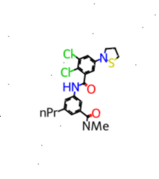 CCCc1cc(NC(=O)c2cc(N3CCCS3)cc(Cl)c2Cl)cc(C(=O)NC)c1